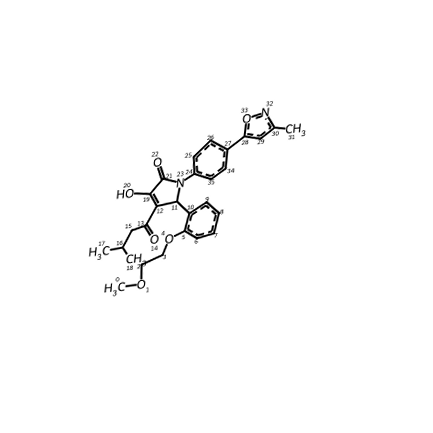 COCCOc1ccccc1C1C(C(=O)CC(C)C)=C(O)C(=O)N1c1ccc(-c2cc(C)no2)cc1